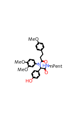 CCCCCNC(=O)C(c1ccc(O)cc1)N(C(=O)CCc1ccc(OC)cc1)c1ccc(OC)c(OC)c1